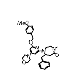 COc1ccc(COc2cc(N3CCOCC3)cc(N3CCN(C)C(=O)CC3Cc3ccccc3)n2)cc1